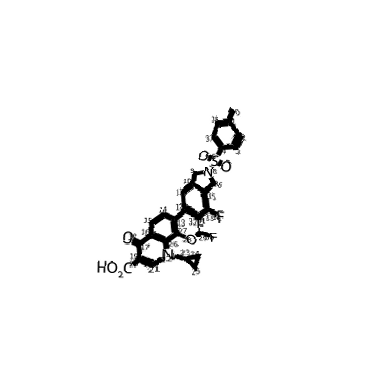 Cc1ccc(S(=O)(=O)N2Cc3cc(-c4ccc5c(=O)c(C(=O)O)cn(C6CC6)c5c4OC(F)F)cc(F)c3C2)cc1